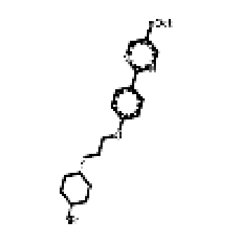 CCCCCCCCc1cnc(-c2ccc(OCCC[C@H]3CC[C@H](CCC)CC3)cc2)nc1